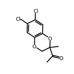 CC(=O)C1(C)COc2cc(Cl)c(Cl)cc2O1